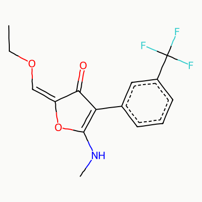 CCOC=C1OC(NC)=C(c2cccc(C(F)(F)F)c2)C1=O